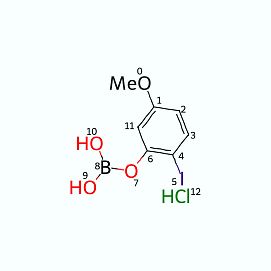 COc1ccc(I)c(OB(O)O)c1.Cl